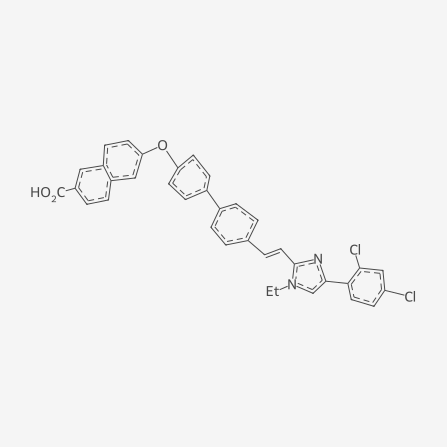 CCn1cc(-c2ccc(Cl)cc2Cl)nc1/C=C/c1ccc(-c2ccc(Oc3ccc4cc(C(=O)O)ccc4c3)cc2)cc1